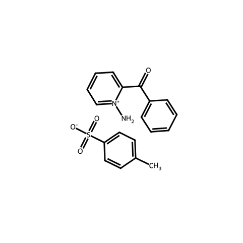 Cc1ccc(S(=O)(=O)[O-])cc1.N[n+]1ccccc1C(=O)c1ccccc1